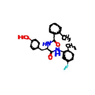 Cc1ccc(F)cc1NC(=O)C(Cc1ccc(O)cc1)NC(=O)c1ccccc1C